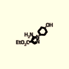 CCOC(=O)c1cnn([C@H]2CC[C@@H](O)CC2)c1N